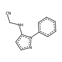 N#CCNc1ccnn1-c1ccccc1